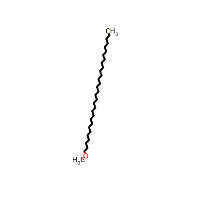 CCCCCCCCCCCCCCCCCCCCCCCCCCCCCCCOC